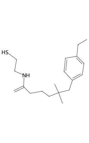 C=C(CCCC(C)(C)Cc1ccc(CC)cc1)NCCS